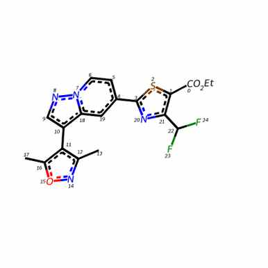 CCOC(=O)c1sc(-c2ccn3ncc(-c4c(C)noc4C)c3c2)nc1C(F)F